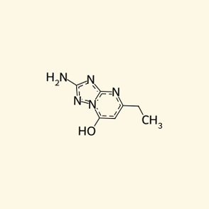 CCc1cc(O)n2nc(N)nc2n1